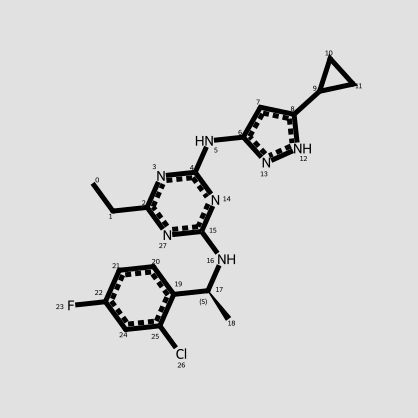 CCc1nc(Nc2cc(C3CC3)[nH]n2)nc(N[C@@H](C)c2ccc(F)cc2Cl)n1